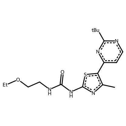 CCOCCNC(=O)Nc1nc(C)c(-c2ccnc(C(C)(C)C)n2)s1